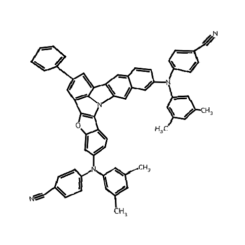 Cc1cc(C)cc(N(c2ccc(C#N)cc2)c2ccc3cc4c5cc(-c6ccccc6)cc6c7oc8cc(N(c9ccc(C#N)cc9)c9cc(C)cc(C)c9)ccc8c7n(c4cc3c2)c56)c1